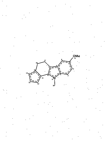 COc1ccc2c(c1)c1c(n2C)-c2ccsc2CC1